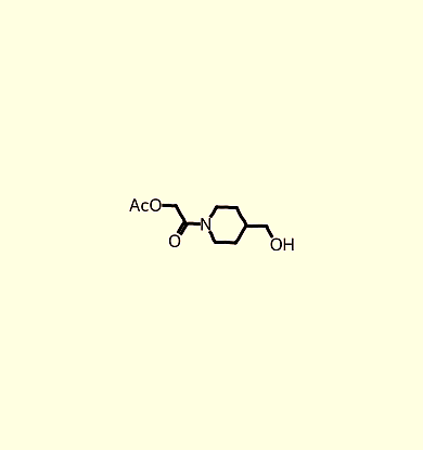 CC(=O)OCC(=O)N1CCC(CO)CC1